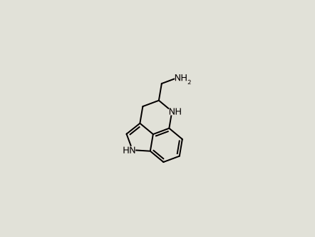 NCC1Cc2c[nH]c3cccc(c23)N1